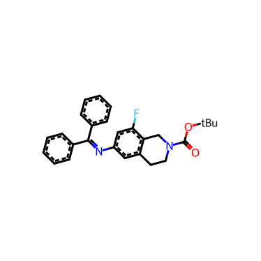 CC(C)(C)OC(=O)N1CCc2cc(N=C(c3ccccc3)c3ccccc3)cc(F)c2C1